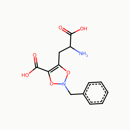 NC(CC1=C(C(=O)O)ON(Cc2ccccc2)O1)C(=O)O